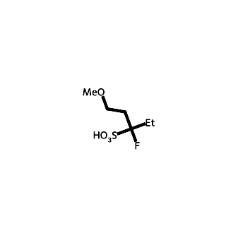 CCC(F)(CCOC)S(=O)(=O)O